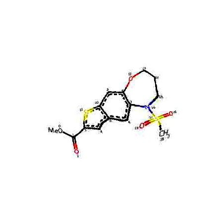 COC(=O)c1cc2cc3c(cc2s1)OCCCN3S(C)(=O)=O